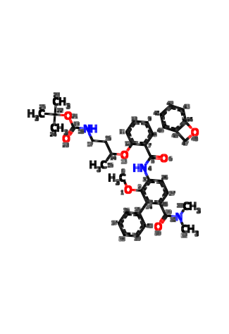 COc1c(NC(=O)c2ccccc2OC(C)CCNC(=O)OC(C)(C)C)ccc(C(=O)N(C)C)c1-c1ccccc1.c1ccc2c(c1)CO2